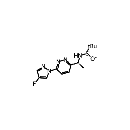 C[C@H](N[S+]([O-])C(C)(C)C)c1ccc(-n2cc(F)cn2)nn1